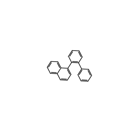 [c]1cccc(-c2ccccc2)c1-c1cccc2ccccc12